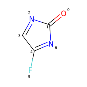 O=C1N=CC(F)=N1